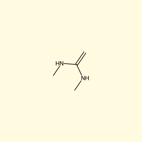 C=C(NC)NC